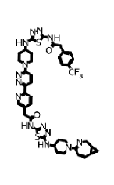 O=C(Cc1ccc(-c2ccc(N3CCC(Nc4nnc(NC(=O)Cc5ccc(C(F)(F)F)cc5)s4)CC3)nn2)nc1)Nc1nnc(NC2CCN(C3=NCC4CC4C=C3)CC2)s1